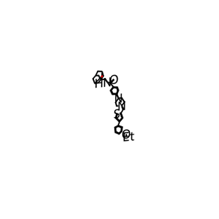 CCOc1cccc(-c2csc(CN3CCN(c4ccc(C(=O)NCC56CC7CC(CC(C7)C5)C6)cc4)CC3)c2)c1